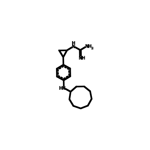 N=C(N)NC1CC1c1ccc(NC2CCCCCCCC2)cc1